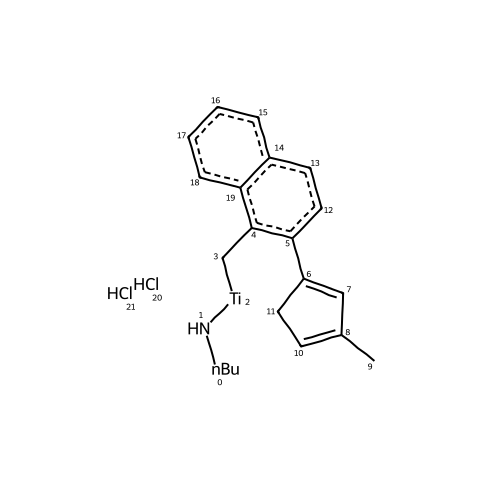 CCCC[NH][Ti][CH2]c1c(C2=CC(C)=CC2)ccc2ccccc12.Cl.Cl